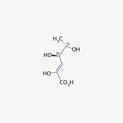 C[C@H](O)[C@H](O)/C=C(\O)C(=O)O